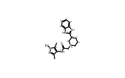 CCn1nc(C)c(NC(=O)CN2CCCC(c3nc4ccccc4[nH]3)C2)c1C